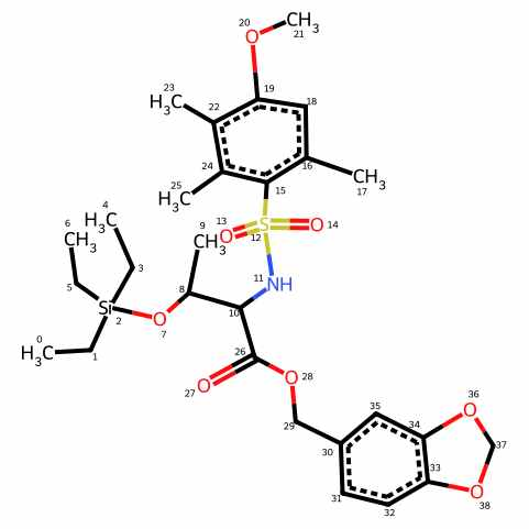 CC[Si](CC)(CC)OC(C)C(NS(=O)(=O)c1c(C)cc(OC)c(C)c1C)C(=O)OCc1ccc2c(c1)OCO2